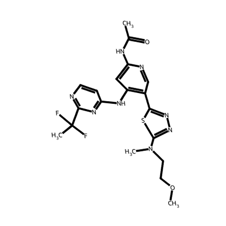 COCCN(C)c1nnc(-c2cnc(NC(C)=O)cc2Nc2ccnc(C(C)(F)F)n2)s1